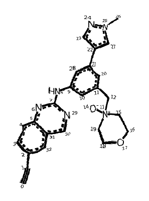 C#Cc1ccc2nc(Nc3cc(C[N+]4([O-])CCOCC4)cc(-c4cnn(C)c4)c3)ncc2c1